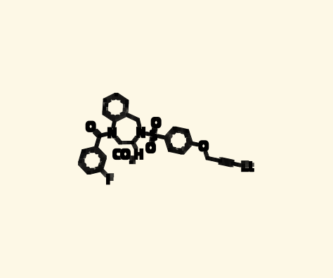 CCC#CCOc1ccc(S(=O)(=O)N2Cc3ccccc3N(C(=O)c3cccc(F)c3)CC2C(=O)O)cc1